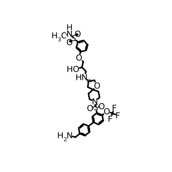 CNS(=O)(=O)c1cccc(OCC(O)CN[C@H]2COC3(CCN(S(=O)(=O)c4cc(-c5ccc(CN)cc5)ccc4OC(F)(F)F)CC3)C2)c1